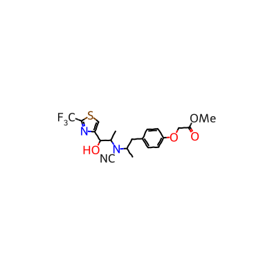 COC(=O)COc1ccc(CC(C)N(C#N)C(C)C(O)c2csc(C(F)(F)F)n2)cc1